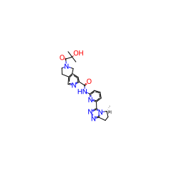 C[C@@H]1CCc2nnc(-c3cccc(NC(=O)c4cc5c(cn4)CCN(C(=O)C(C)(C)O)C5)n3)n21